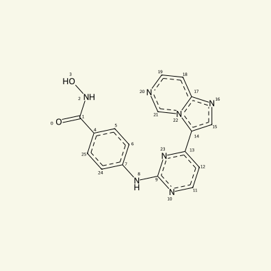 O=C(NO)c1ccc(Nc2nccc(-c3cnc4ccncn34)n2)cc1